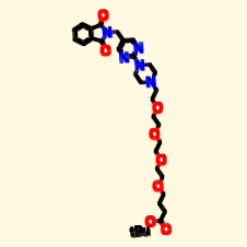 CC(C)(C)OC(=O)CCCOCCOCCOCCOCCN1CCN(c2ncc(CN3C(=O)c4ccccc4C3=O)cn2)CC1